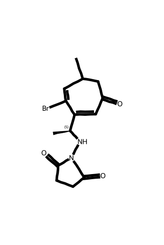 CC1C=C(Br)C([C@H](C)NN2C(=O)CCC2=O)=CC(=O)C1